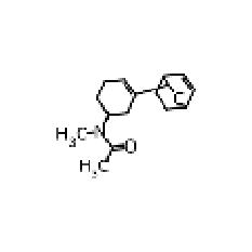 CC(=O)N(C)C1CCC=C(C2CC3C=CC2CC3)C1